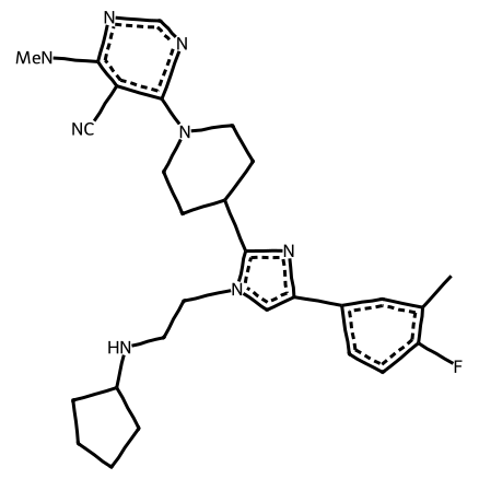 CNc1ncnc(N2CCC(c3nc(-c4ccc(F)c(C)c4)cn3CCNC3CCCC3)CC2)c1C#N